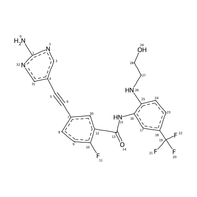 Nc1ncc(C#Cc2ccc(F)c(C(=O)Nc3cc(C(F)(F)F)ccc3NCCO)c2)cn1